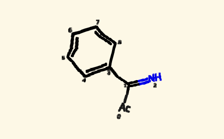 CC(=O)C(=N)c1ccccc1